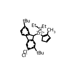 CC[Si](CC)=[Zr+2]([C]1=C(C)C=CC1)[CH]1c2cc(C(C)(C)C)ccc2-c2ccc(C(C)(C)C)cc21.[Cl-].[Cl-]